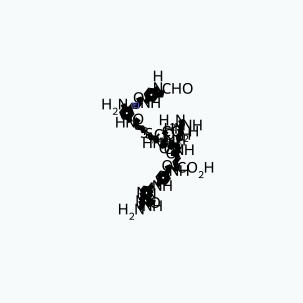 N=C(N)NCCC[C@H](NC(=O)CC[C@H](NC(=O)c1ccc(NCc2cnc3nc(N)[nH]c(=O)c3n2)cc1)C(=O)O)C(=O)N[C@@H](CC(=O)O)C(=O)N[C@@H](CSSCCC(=O)Nc1ccc(N)c(/C=C/C(=O)Nc2ccc3[nH]c(C=O)cc3c2)c1)C(=O)O